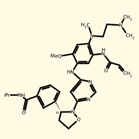 C=CC(=O)Nc1cc(Nc2cc(N3OCC[C@@H]3c3cccc(C(=O)NC(C)C)c3)ncn2)c(OC)cc1N(C)CCN(C)C